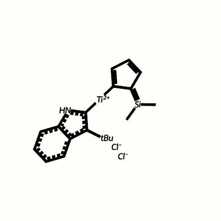 C[Si](C)=C1C=CC=[C]1[Ti+2][c]1[nH]c2ccccc2c1C(C)(C)C.[Cl-].[Cl-]